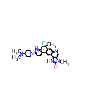 CN(C)C1CCN(c2ccc(-c3cc4c(cc3C(C)(C)F)ncc3c4[nH]c(=O)n3C)cn2)CC1